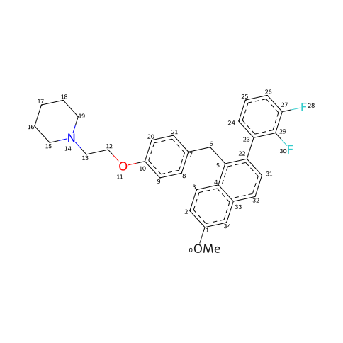 COc1ccc2c(Cc3ccc(OCCN4CCCCC4)cc3)c(-c3cccc(F)c3F)ccc2c1